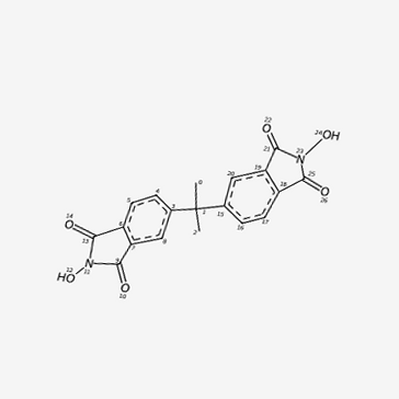 CC(C)(c1ccc2c(c1)C(=O)N(O)C2=O)c1ccc2c(c1)C(=O)N(O)C2=O